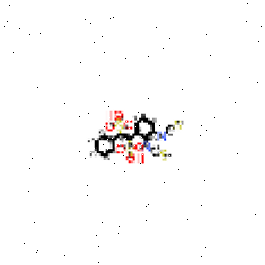 O=S(=O)(O)C(=C(c1cccc(N=C=S)c1N=C=S)S(=O)(=O)O)c1ccccc1